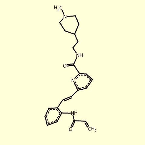 C=CC(=O)Nc1ccccc1/C=C/c1cccc(C(=O)NCCC2CCN(C)CC2)n1